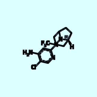 Nc1cc(N2CC3CC[C@H](C2)N3CC(F)(F)F)ncc1Cl